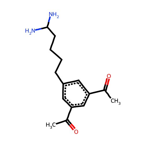 CC(=O)c1cc(CCCCC(N)N)cc(C(C)=O)c1